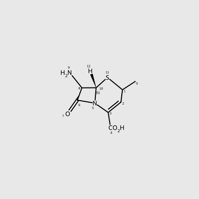 CC1C=C(C(=O)O)N2C(=O)C(N)[C@@H]2S1